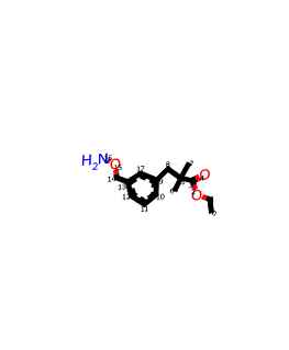 CCOC(=O)C(C)(C)Cc1cccc(CON)c1